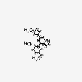 Cl.Cn1cc(-c2cn3nccc3c(N3CCCC(CN)C3)n2)cn1